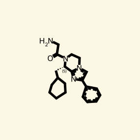 NCC(=O)N1CCn2cc(-c3ccccc3)nc2[C@@H]1CC1CCCCC1